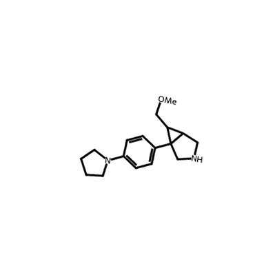 COCC1C2CNCC21c1ccc(N2CCCC2)cc1